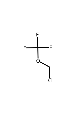 FC(F)(F)OCCl